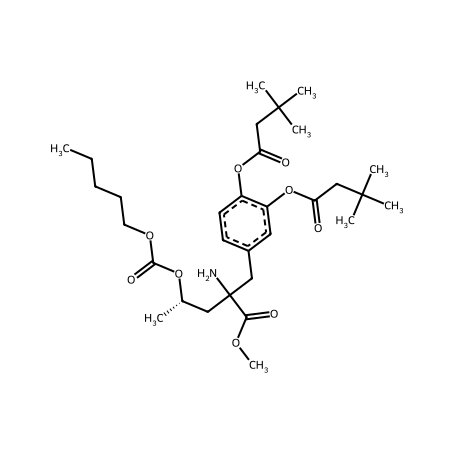 CCCCCOC(=O)O[C@@H](C)CC(N)(Cc1ccc(OC(=O)CC(C)(C)C)c(OC(=O)CC(C)(C)C)c1)C(=O)OC